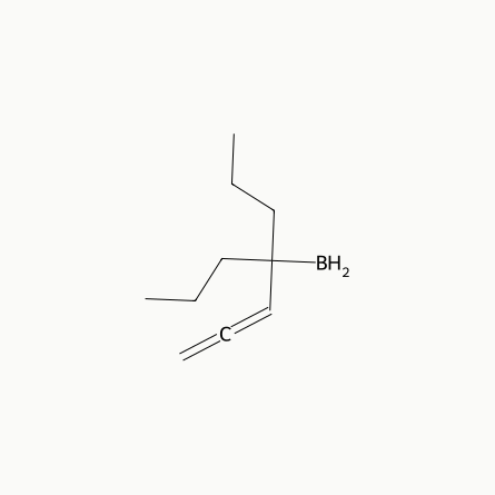 BC(C=C=C)(CCC)CCC